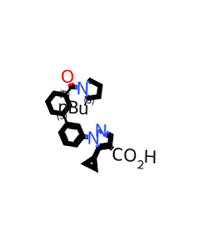 CCCC[C@H]1CCCN1C(=O)[C@@H]1CCC[C@H](c2cccc(-n3ncc(C(=O)O)c3C3CC3)c2)C1